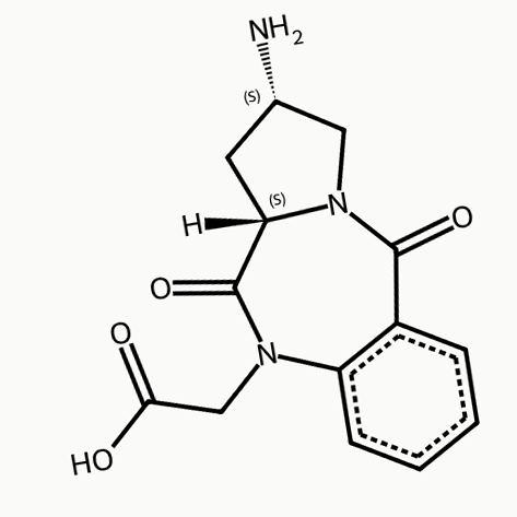 N[C@H]1C[C@H]2C(=O)N(CC(=O)O)c3ccccc3C(=O)N2C1